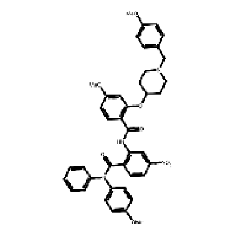 COc1ccc(CN2CCC(Oc3cc(OC)ccc3C(=O)Nc3cc([N+](=O)[O-])ccc3C(=O)N(c3ccccc3)c3ccc(OC)cc3)CC2)cc1